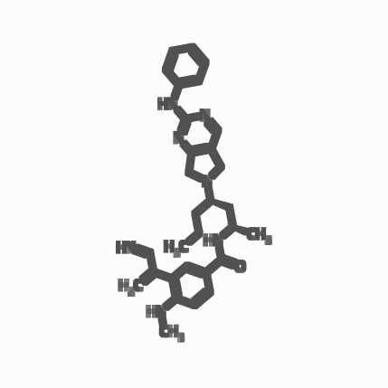 C=C(C=N)c1cc(C(=O)N[C@H](C)C[C@@H](CCC)N2Cc3cnc(Nc4ccccc4)nc3C2)ccc1NC